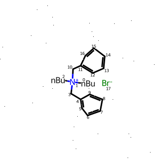 CCCC[N+](CCCC)(Cc1ccccc1)Cc1ccccc1.[Br-]